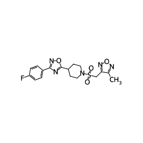 Cc1nonc1CS(=O)(=O)N1CCC(c2nc(-c3ccc(F)cc3)no2)CC1